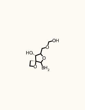 BC1OC(COCO)[C@@H](O)[C@@]12CCO2